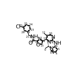 CCn1nccc1Nc1ncc(C)c(-c2coc(C(=O)NCc3cccc(Cl)c3)n2)n1